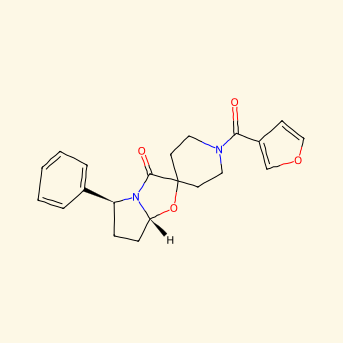 O=C(c1ccoc1)N1CCC2(CC1)O[C@@H]1CC[C@@H](c3ccccc3)N1C2=O